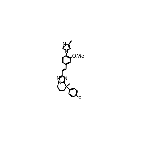 COc1cc(C=Cc2nc3n(n2)CCCC3(C)c2ccc(F)cc2)ccc1-n1cnc(C)c1